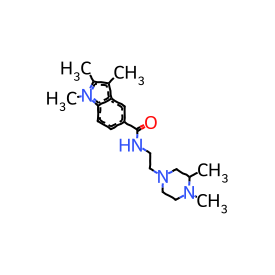 Cc1c(C)n(C)c2ccc(C(=O)NCCN3CCN(C)C(C)C3)cc12